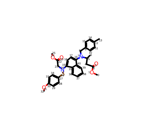 COC(=O)CC(C)N(Cc1ccc(C)cc1)c1ccc(N(CC(=O)OC)Sc2ccc(OC)cc2)c2ccccc12